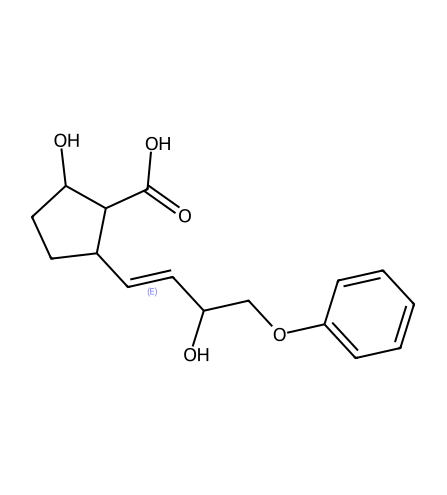 O=C(O)C1C(O)CCC1/C=C/C(O)COc1ccccc1